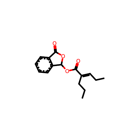 CC/C=C(\CCC)C(=O)OC1OC(=O)c2ccccc21